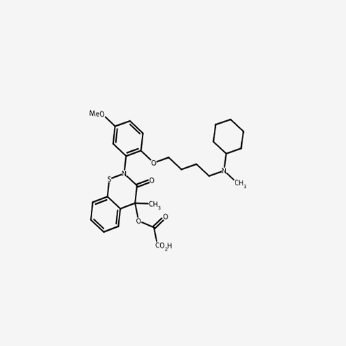 COc1ccc(OCCCCN(C)C2CCCCC2)c(N2Sc3ccccc3C(C)(OC(=O)C(=O)O)C2=O)c1